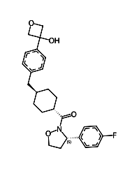 O=C([C@H]1CC[C@H](Cc2ccc(C3(O)COC3)cc2)CC1)N1OCC[C@H]1c1ccc(F)cc1